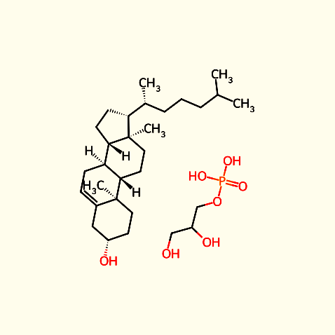 CC(C)CCC[C@@H](C)[C@H]1CC[C@H]2[C@@H]3CC=C4C[C@@H](O)CC[C@]4(C)[C@H]3CC[C@]12C.O=P(O)(O)OCC(O)CO